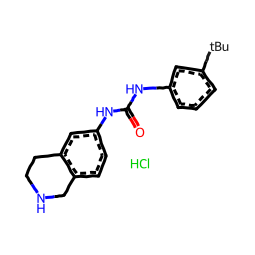 CC(C)(C)c1cccc(NC(=O)Nc2ccc3c(c2)CCNC3)c1.Cl